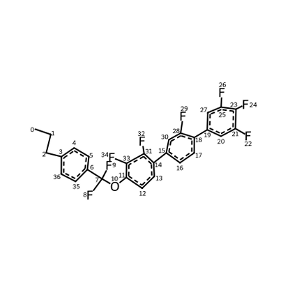 CCCc1ccc(C(F)(F)Oc2ccc(-c3ccc(-c4cc(F)c(F)c(F)c4)c(F)c3)c(F)c2F)cc1